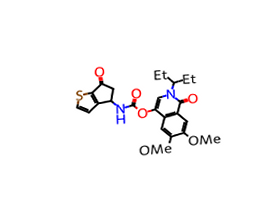 CCC(CC)n1cc(OC(=O)NC2CC(=O)c3sccc32)c2cc(OC)c(OC)cc2c1=O